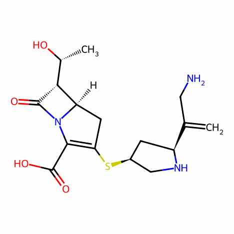 C=C(CN)[C@@H]1C[C@H](SC2=C(C(=O)O)N3C(=O)[C@H]([C@@H](C)O)[C@H]3C2)CN1